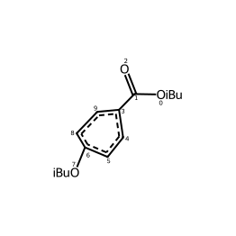 CC(C)COC(=O)c1ccc(OCC(C)C)cc1